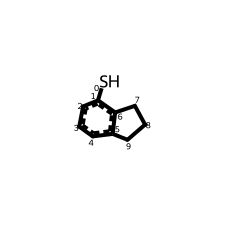 Sc1cccc2c1CCC2